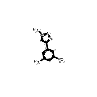 Cc1cc(-c2cn(C)nn2)cc([N+](=O)[O-])c1